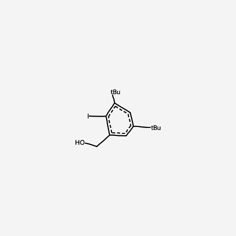 CC(C)(C)c1cc(CO)c(I)c(C(C)(C)C)c1